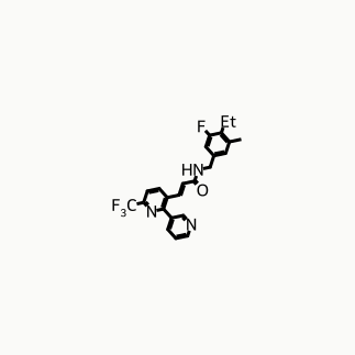 CCc1c(C)cc(CNC(=O)/C=C/c2ccc(C(F)(F)F)nc2-c2cccnc2)cc1F